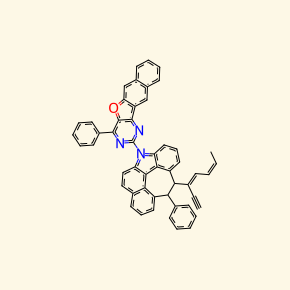 C#C/C(=C\C=C/C)C1c2cccc3c2c2c4c(cccc4ccc2n3-c2nc(-c3ccccc3)c3oc4cc5ccccc5cc4c3n2)C1c1ccccc1